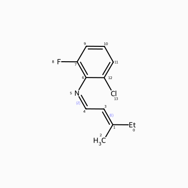 CC/C(C)=C/C=N\c1c(F)cccc1Cl